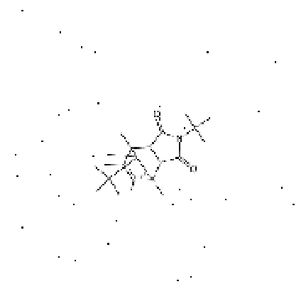 CC1=C(C)C2(C)C3C(=O)N(C(C)(C)C)C(=O)C3C1(C)C(C)C2(C)C(C)(C)C